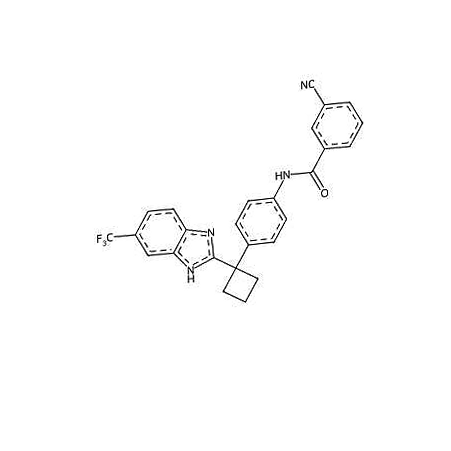 N#Cc1cccc(C(=O)Nc2ccc(C3(c4nc5ccc(C(F)(F)F)cc5[nH]4)CCC3)cc2)c1